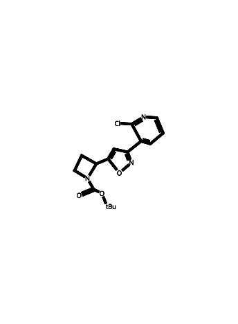 CC(C)(C)OC(=O)N1CCC1c1cc(-c2cccnc2Cl)no1